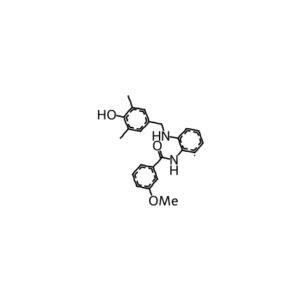 COc1cccc(C(=O)Nc2[c]cccc2NCc2cc(C)c(O)c(C)c2)c1